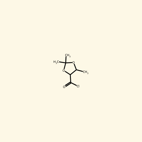 CC1OC(C)(C)OC1C(=O)Cl